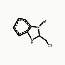 CCCN1c2ccccc2NC1CC#N